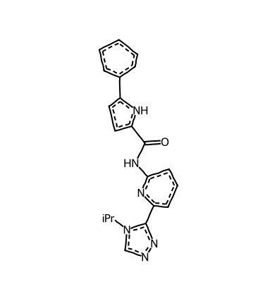 CC(C)n1cnnc1-c1cccc(NC(=O)c2ccc(-c3ccccc3)[nH]2)n1